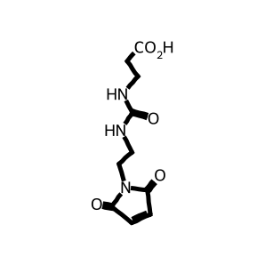 O=C(O)CCNC(=O)NCCN1C(=O)C=CC1=O